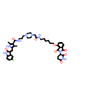 Cc1[nH]c(/C=C2\C(=O)Nc3ccc(F)cc32)c(C)c1C(=O)NCCCN1CCN(CC(=O)NCCCCCCOc2cccc3c2C(=O)N(C2CCC(=O)NC2=O)C3=O)CC1